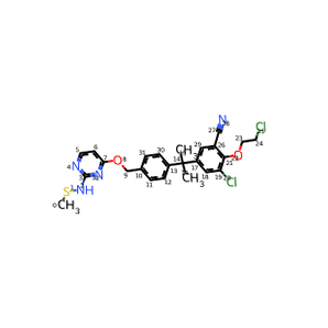 CSNc1nccc(OCc2ccc(C(C)(C)c3cc(Cl)c(OCCCl)c(C#N)c3)cc2)n1